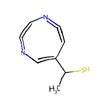 CC(S)/C1=C/N=C=CN=C=C1